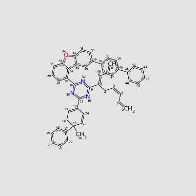 C=C/C=C\C/C(=C\C=C)c1nc(C2=CCC(C)(c3ccccc3)C=C2)nc(-c2cccc3oc4ccc(-c5ccc(-c6ccccc6)cc5)cc4c23)n1